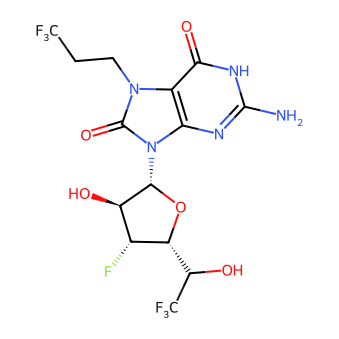 Nc1nc2c(c(=O)[nH]1)n(CCC(F)(F)F)c(=O)n2[C@@H]1O[C@H](C(O)C(F)(F)F)[C@H](F)[C@H]1O